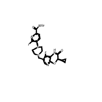 CNC(=O)c1ccc(N2CCN(Cc3cnc4c(c3F)NC(=O)C(C3CC3)O4)CC2)c(F)n1